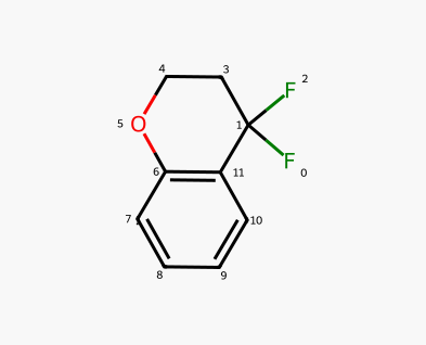 FC1(F)CCOc2[c]cccc21